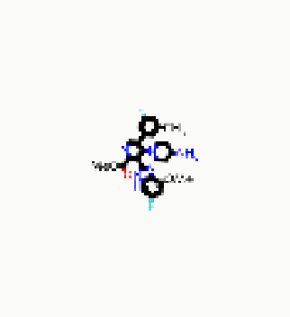 COC(=O)c1ncc(-c2cc(C)cc(F)c2)c(N2CCC(N)CC2)c1-c1nc2c(OC)cc(F)cc2[nH]1